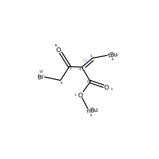 CCCCOC(=O)/C(=C\C(C)(C)C)C(=O)CBr